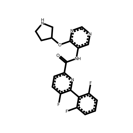 O=C(Nc1cncnc1OC1CCNC1)c1ccc(F)c(-c2c(F)cccc2F)n1